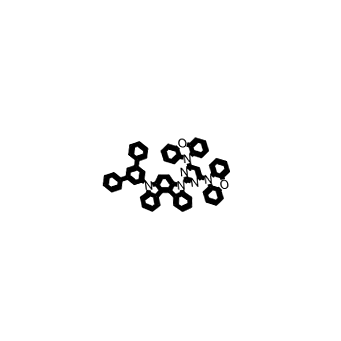 c1ccc(-c2cc(-c3ccccc3)cc(-n3c4ccccc4c4c5c6ccccc6n(-c6nc(N7c8ccccc8Oc8ccccc87)cc(N7c8ccccc8Oc8ccccc87)n6)c5ccc43)c2)cc1